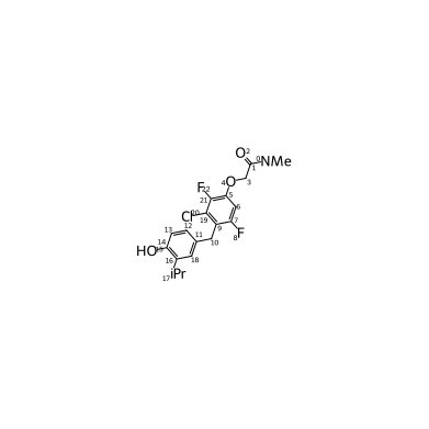 CNC(=O)COc1cc(F)c(Cc2ccc(O)c(C(C)C)c2)c(Cl)c1F